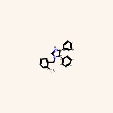 Cc1ccccc1CN1C=N[C@@H](c2ccccc2)[C@H]1c1ccccc1